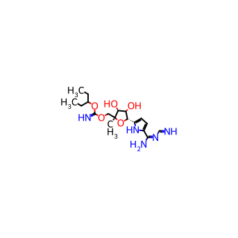 CCC(CC)OC(=N)OC[C@@]1(C)O[C@@H](c2ccc(/C(N)=N\C=N)[nH]2)[C@H](O)[C@@H]1O